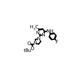 Cc1cc(Nc2ccc(F)cc2)nc(N2CCN(C(=O)OC(C)(C)C)C2)n1